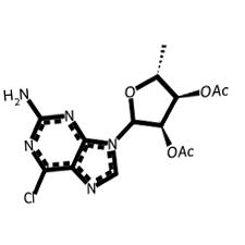 CC(=O)O[C@@H]1[C@@H](C)OC(n2cnc3c(Cl)nc(N)nc32)[C@@H]1OC(C)=O